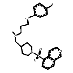 CN(CCCOc1ccc(F)cc1)CC1CCN(S(=O)(=O)c2cccc3cnccc23)CC1